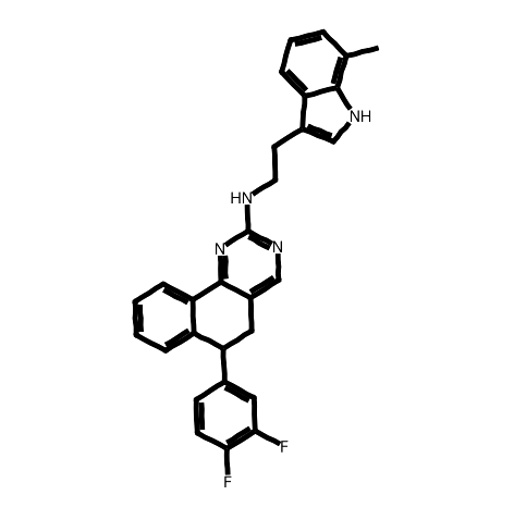 Cc1cccc2c(CCNc3ncc4c(n3)-c3ccccc3C(c3ccc(F)c(F)c3)C4)c[nH]c12